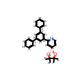 CC1(C)OB(c2ccnc(-c3cc(-c4ccccc4)cc(-c4ccccc4)c3)c2)OC1(C)C